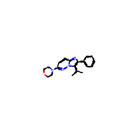 CC(C)c1c(-c2ccccc2)nc2ccc(N3CCOCC3)nn12